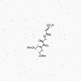 COCCN(CCOC)C(=O)C(=O)COC(=O)/C=C/C(=O)O